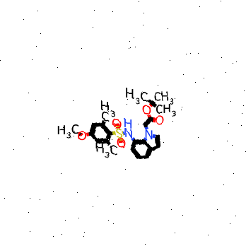 COc1cc(C)c(S(=O)(=O)Nc2cccc3ccn(CC(=O)OC(C)(C)C)c23)c(C)c1